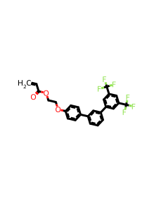 C=CC(=O)OCCOc1ccc(-c2cccc(-c3cc(C(F)(F)F)cc(C(F)(F)F)c3)c2)cc1